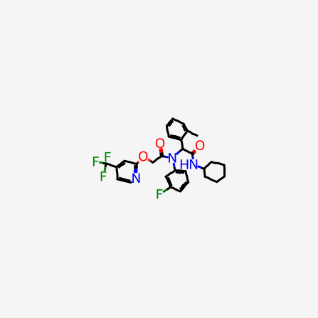 Cc1ccccc1C(C(=O)NC1CCCCC1)N(C(=O)COc1cc(C(F)(F)F)ccn1)c1cccc(F)c1